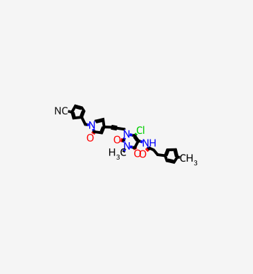 Cc1ccc(CCC(=O)Nc2c(Cl)n(CC#Cc3ccn(Cc4cccc(C#N)c4)c(=O)c3)c(=O)n(C)c2=O)cc1